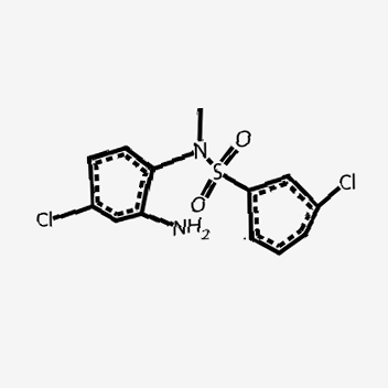 CN(c1ccc(Cl)cc1N)S(=O)(=O)c1[c]ccc(Cl)c1